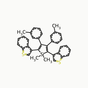 Cc1cccc(C2=C(c3csc4ccccc34)[Si](C)(C)C(c3csc4ccccc34)=C2c2cccc(C)c2)c1